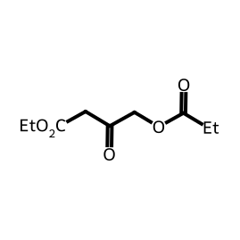 CCOC(=O)CC(=O)COC(=O)CC